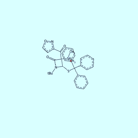 C[SiH](C)C1(C(=O)c2ccon2)C(=O)N(C(C)(C)C)C1SC(c1ccccc1)(c1ccccc1)c1ccccc1